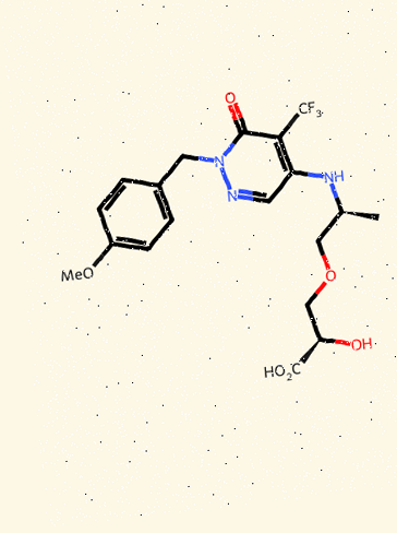 COc1ccc(Cn2ncc(N[C@@H](C)COC[C@@H](O)C(=O)O)c(C(F)(F)F)c2=O)cc1